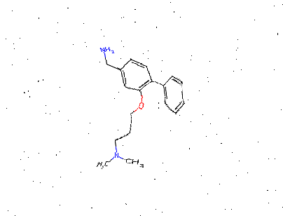 CN(C)CCCOc1cc(CN)ccc1-c1ccccc1